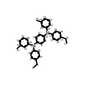 CCc1ccc(N(c2ccc(N(c3ccc(CC)cc3)c3cccc(C)c3)cc2)c2cccc(C)c2)cc1